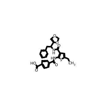 CCc1cc(C(=O)NC(Cc2ccccc2)C2=COCO2)c(NC(=O)c2ccc(C(=O)O)cc2)s1